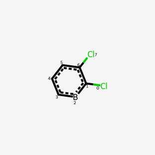 Clc1bcccc1Cl